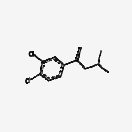 C=C(CC(C)C)c1ccc(Cl)c(Cl)c1